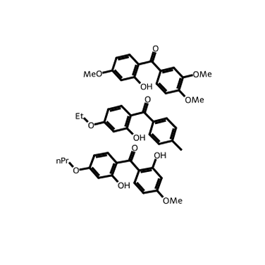 CCCOc1ccc(C(=O)c2ccc(OC)cc2O)c(O)c1.CCOc1ccc(C(=O)c2ccc(C)cc2)c(O)c1.COc1ccc(C(=O)c2ccc(OC)c(OC)c2)c(O)c1